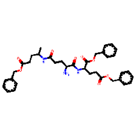 CC(CCC(=O)OCc1ccccc1)NC(=O)CCC(N)C(=O)NC(CCC(=O)OCc1ccccc1)C(=O)OCc1ccccc1